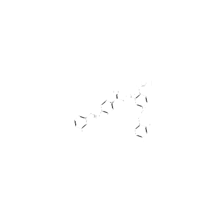 O=C(COc1cc(OCc2ccccc2)ccc1CO)c1ccc(OCc2ccccc2)cc1